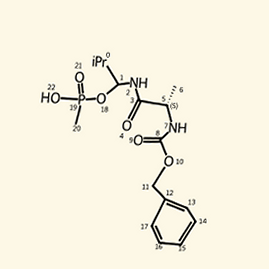 CC(C)C(NC(=O)[C@H](C)NC(=O)OCc1ccccc1)OP(C)(=O)O